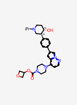 CC(C)N1CC[C@H](O)[C@@H](c2ccc(-c3cc4c(N5CCN(C(=O)OC6COC6)CC5)ccnn4c3)cc2)C1